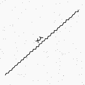 C[C](C)CC(C)(C)C.[CH2]CCCCCCCCCCCCCCCCCCCCCCCCCCCCCCCCCCCCCCCCCCCCCCCCC